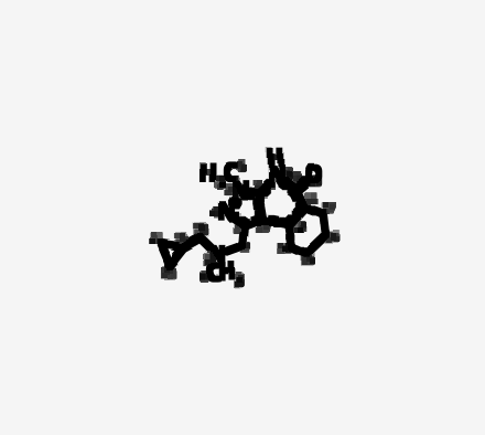 CN(Cc1nn(C)c2[nH]c(=O)c3c(c12)CCCC3)CC1CC1